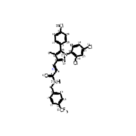 Cc1c(/C=C/C(=O)NCc2ccc(C(F)(F)F)cc2)nn(-c2ccc(Cl)cc2Cl)c1-c1ccc(Cl)cc1